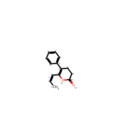 C/C=C\C1=C(c2ccccc2)CCC(=O)O1